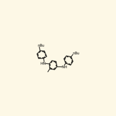 CCCCc1ccc(Nc2ccc(Nc3ccc(CCCC)cc3)c(C)c2)cc1